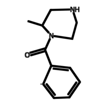 CC1CNCCN1C(=O)c1[c]cccc1